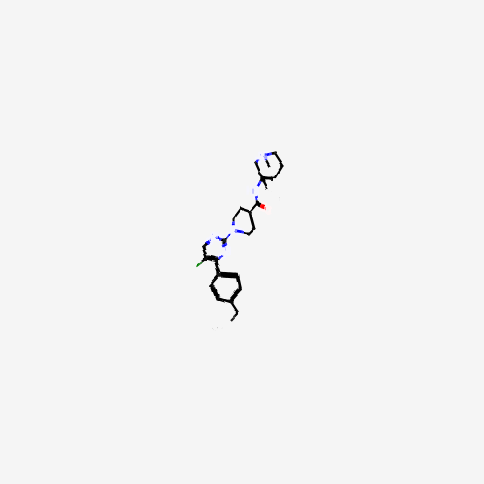 COCc1ccc(-c2nc(N3CCC(C(=O)NC4(C)CCN5CCC4CC5)CC3)ncc2F)cc1